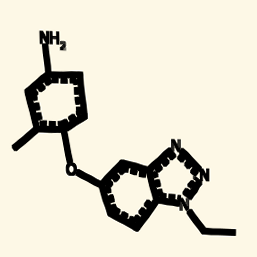 CCn1nnc2cc(Oc3ccc(N)cc3C)ccc21